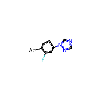 CC(=O)c1ccc(-n2cncn2)cc1F